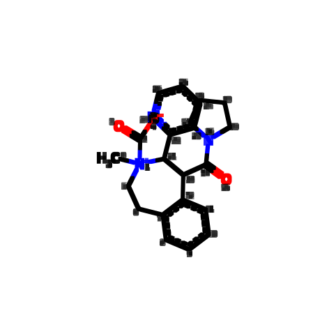 C[N+]1(C(=O)[O-])CCc2ccccc2C(C(=O)N2CCCC2)C1c1ccccn1